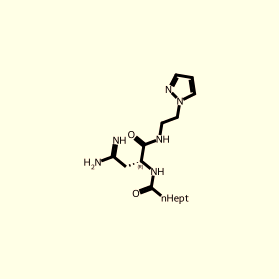 CCCCCCCC(=O)N[C@H](CC(=N)N)C(=O)NCCn1cccn1